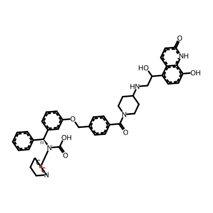 O=C(c1ccc(COc2cccc([C@H](c3ccccc3)N(C(=O)O)C3CN4CCC3CC4)c2)cc1)N1CCC(NCC(O)c2ccc(O)c3[nH]c(=O)ccc23)CC1